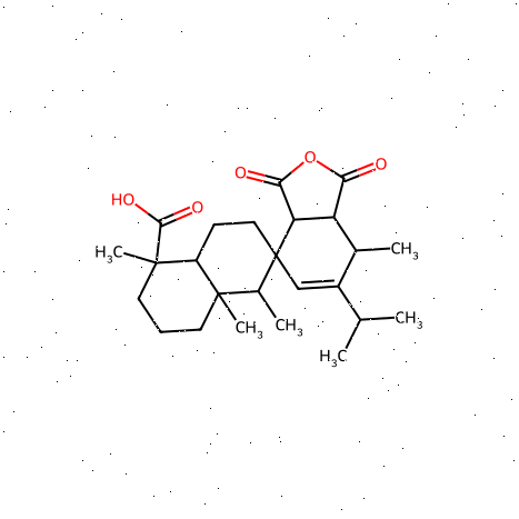 CC(C)C1=CC2(CCC3C(C)(C(=O)O)CCCC3(C)C2C)C2C(=O)OC(=O)C2C1C